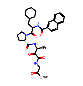 COC(=O)CNC(=O)C(=O)C(NC(=O)[C@@H]1CCCN1C(=O)C(CC1CCCCC1)NC(=O)c1ccc2ccccc2c1)C(C)C